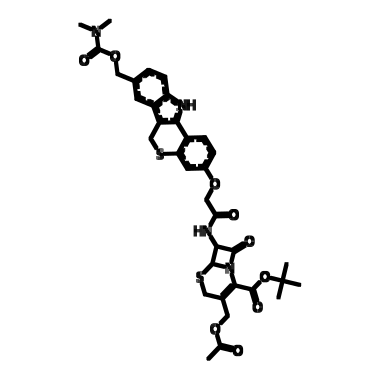 CC(=O)OCC1=C(C(=O)OC(C)(C)C)N2C(=O)C(NC(=O)COc3ccc4c(c3)SCc3c-4[nH]c4ccc(COC(=O)N(C)C)cc34)C2SC1